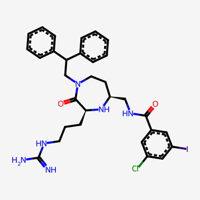 N=C(N)NCCC[C@@H]1N[C@H](CNC(=O)c2cc(Cl)cc(I)c2)CCN(CC(c2ccccc2)c2ccccc2)C1=O